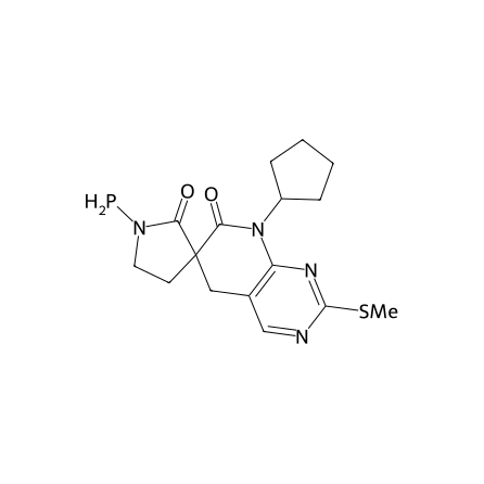 CSc1ncc2c(n1)N(C1CCCC1)C(=O)C1(CCN(P)C1=O)C2